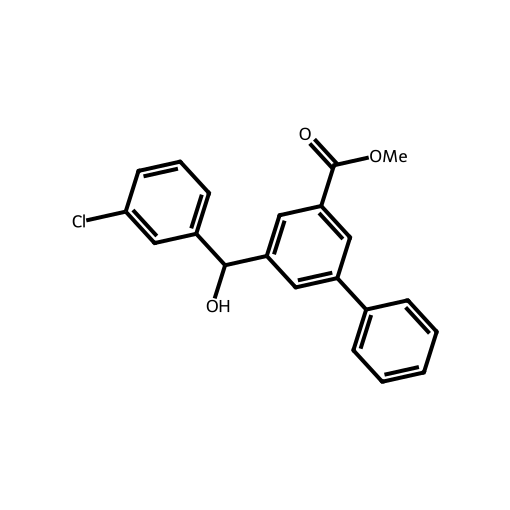 COC(=O)c1cc(-c2ccccc2)cc(C(O)c2cccc(Cl)c2)c1